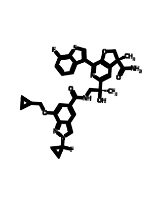 C[C@]1(C(N)=O)COc2c1cc([C@@](O)(CNC(=O)c1cc(OCC3CC3)c3nn(C4(F)CC4)cc3c1)C(F)(F)F)nc2-c1csc2c(F)cccc12